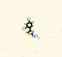 Nc1nc(-c2cc(F)c(Cl)cc2Cl)cs1